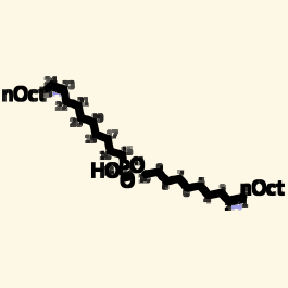 CCCCCCCC/C=C\CCCCCCCCOP(=O)(O)CCCCCCCC/C=C\CCCCCCCC